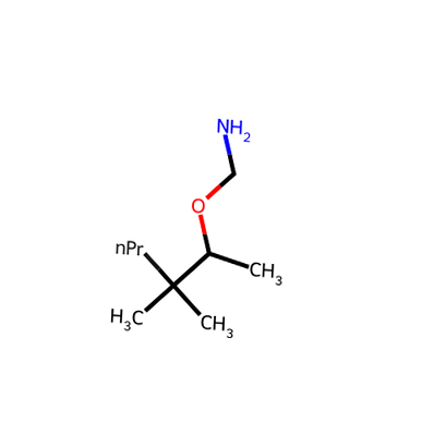 CCCC(C)(C)C(C)OCN